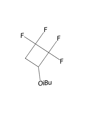 CC(C)COC1CC(F)(F)C1(F)F